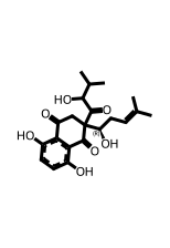 CC(C)=CC[C@@H](O)C1(C(=O)C(O)C(C)C)CC(=O)c2c(O)ccc(O)c2C1=O